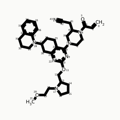 C=CC(=O)N1CCN(c2nc(OCC3CCCN3CCOC)nc3c2CCC(N2CCCc4ccccc42)C3)CC1CC#N